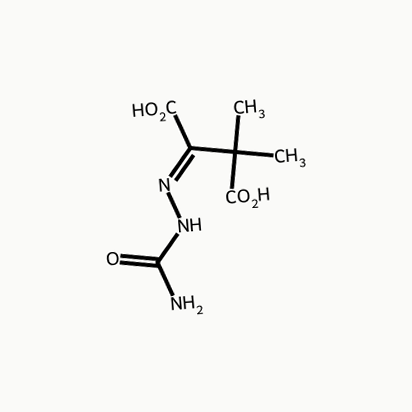 CC(C)(C(=O)O)/C(=N\NC(N)=O)C(=O)O